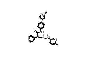 Cc1ccc([C@H](C)CNCC(C(=O)Nc2ccc(-c3cnn(C)c3)cn2)c2ccccc2)cn1